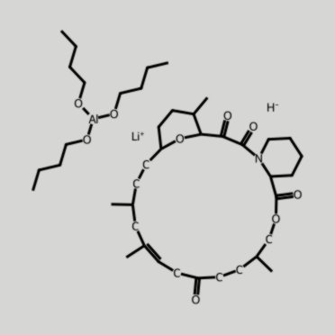 C/C1=C/CC(=O)CCC(C)COC(=O)C2CCCCN2C(=O)C(=O)C2OC(CCC(C)C1)CCC2C.CCCC[O][Al]([O]CCCC)[O]CCCC.[H-].[Li+]